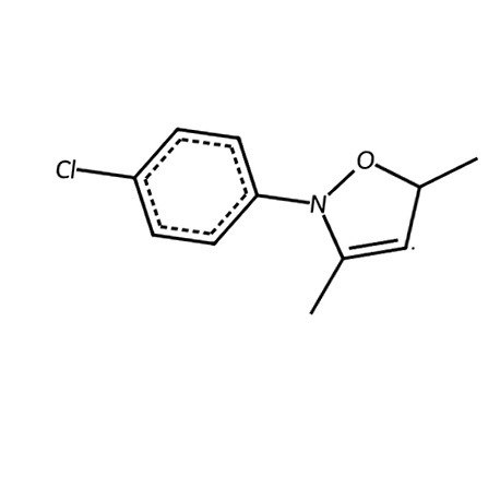 CC1=[C]C(C)ON1c1ccc(Cl)cc1